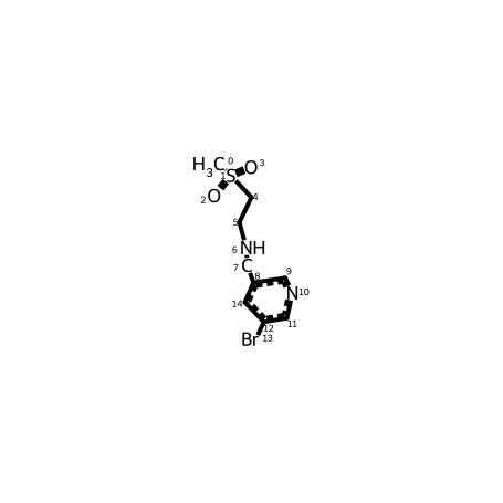 CS(=O)(=O)CCNCc1cncc(Br)c1